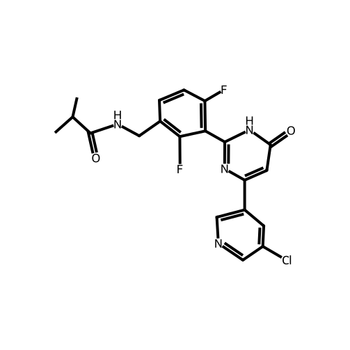 CC(C)C(=O)NCc1ccc(F)c(-c2nc(-c3cncc(Cl)c3)cc(=O)[nH]2)c1F